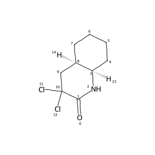 O=C1N[C@@H]2CCCC[C@@H]2CC1(Cl)Cl